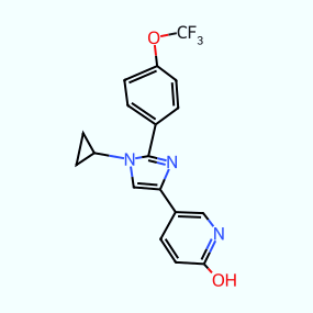 Oc1ccc(-c2cn(C3CC3)c(-c3ccc(OC(F)(F)F)cc3)n2)cn1